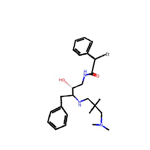 CCC(C(=O)NC[C@@H](O)C(Cc1ccccc1)NCC(C)(C)CN(C)C)c1ccccc1